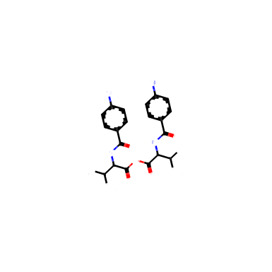 CC(C)C(NC(=O)c1ccc(N)cc1)C(=O)OC(=O)C(NC(=O)c1ccc(N)cc1)C(C)C